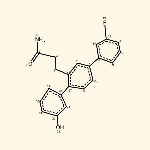 NC(=O)CCc1cc(-c2cccc(F)c2)ccc1-c1cccc(O)c1